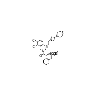 CC(=O)O.CN(C[C@@H](CCN1CC(N2CCSCC2)C1)c1ccc(Cl)c(Cl)c1)C(=O)c1cc(C#N)cc2c1CCCC2